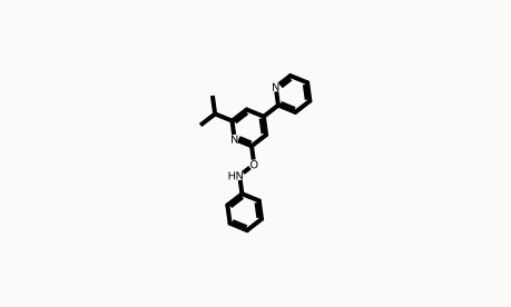 CC(C)c1cc(-c2ccccn2)cc(ONc2ccccc2)n1